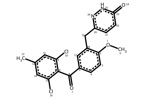 COc1ccc(C(=O)c2c(Cl)cc(C)cc2Cl)cc1Cc1ccc(=O)[nH]n1